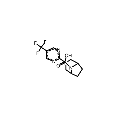 O=C(O)N1C2CCC1CN(c1ncc(C(F)(F)F)cn1)C2